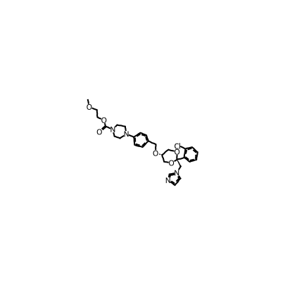 COCCOC(=O)N1CCN(c2ccc(CO[C@H]3CO[C@@](Cn4ccnc4)(c4ccccc4Cl)OC3)cc2)CC1